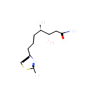 Cc1nc(CCC[C@@H](C)[C@@H](O)CC(N)=O)cs1